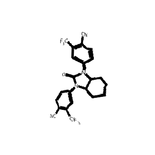 N#Cc1ccc(N2C(=O)N(c3ccc(C#N)c(C(F)(F)F)c3)C3CCCCC32)cc1C(F)(F)F